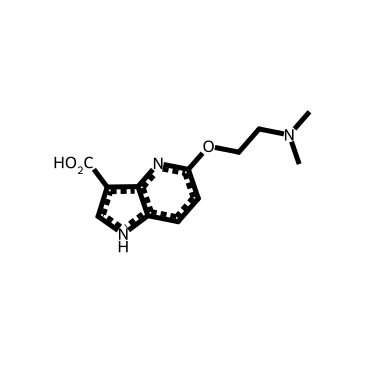 CN(C)CCOc1ccc2[nH]cc(C(=O)O)c2n1